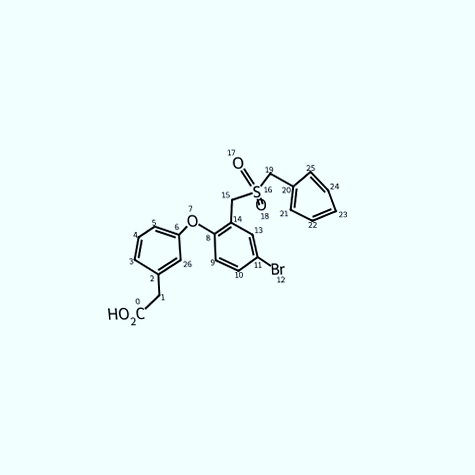 O=C(O)Cc1cccc(Oc2ccc(Br)cc2CS(=O)(=O)Cc2ccccc2)c1